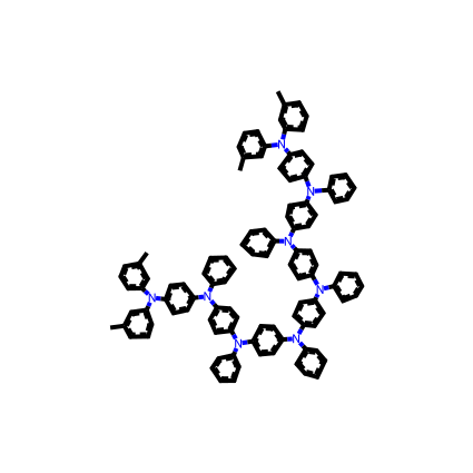 Cc1cccc(N(c2ccc(N(c3ccccc3)c3ccc(N(c4ccccc4)c4ccc(N(c5ccccc5)c5ccc(N(c6ccccc6)c6ccc(N(c7ccccc7)c7ccc(N(c8ccccc8)c8ccc(N(c9cccc(C)c9)c9cccc(C)c9)cc8)cc7)cc6)cc5)cc4)cc3)cc2)c2cccc(C)c2)c1